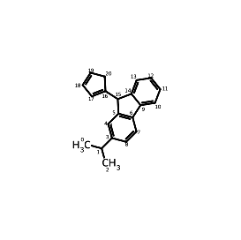 CC(C)c1[c]c2c(cc1)-c1ccccc1C2C1=CC=CC1